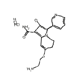 Cl.Cl.NCCSC1=Cc2c(C(N)=O)c(Cl)c(-c3cccnc3)n2CC1